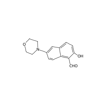 O=Cc1c(O)ccc2cc(N3CCOCC3)ccc12